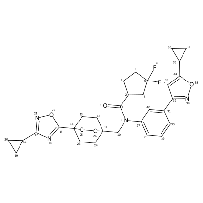 O=C(C1CCC(F)(F)C1)N(CC12CCC(c3nc(C4CC4)no3)(CC1)CC2)c1cccc(-c2cc(C3CC3)on2)c1